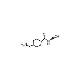 C#CNC(=O)C1CCC(CN)CC1